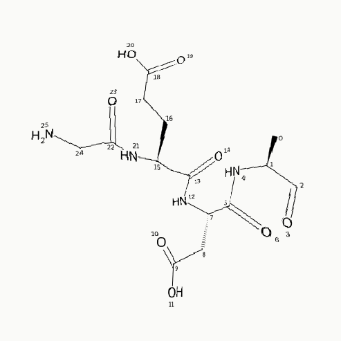 C[C@@H](C=O)NC(=O)[C@H](CC(=O)O)NC(=O)[C@H](CCC(=O)O)NC(=O)CN